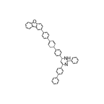 C1=CC(c2ccc(C3C=C(c4ccc(-c5ccccc5)cc4)N=C(c4ccccc4)N3)cc2)CC=C1c1ccc(-c2ccc3oc4ccccc4c3c2)cc1